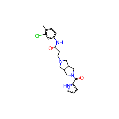 Cc1ccc(NC(=O)CCN2CC3CN(C(=O)c4ccc[nH]4)CC3C2)cc1Cl